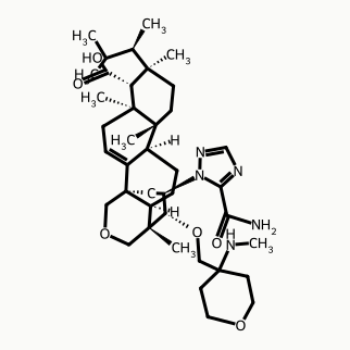 CNC1(CO[C@H]2[C@H](n3ncnc3C(N)=O)C[C@@]34COC[C@]2(C)[C@@H]3CC[C@H]2C4=CC[C@@]3(C)[C@H](C(=O)O)[C@@](C)([C@H](C)C(C)C)CC[C@]23C)CCOCC1